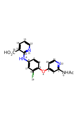 CC(=O)Nc1cc(Oc2ccc(Nc3ncccc3C(=O)O)cc2F)ccn1